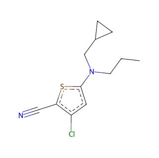 CCCN(CC1CC1)c1cc(Cl)c(C#N)s1